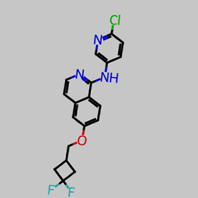 FC1(F)CC(COc2ccc3c(Nc4ccc(Cl)nc4)nccc3c2)C1